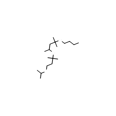 CCCCOC(C)(C)CC(C)OC(C)(C)CCOC(C)C